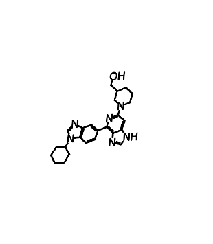 OCC1CCCN(c2cc3[nH]cnc3c(-c3ccc4c(c3)ncn4C3CCCCC3)n2)C1